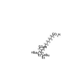 CCCCC(CC)CC(C)(CC(CC)CCCC)C(CCCCCCCCCCCC(=O)O)CC(=O)O